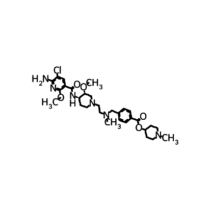 COc1nc(N)c(Cl)cc1C(=O)N[C@@H]1CCN(CCN(C)Cc2ccc(C(=O)OC3CCN(C)CC3)cc2)C[C@@H]1OC